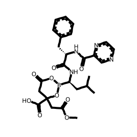 COC(=O)CC1(C(=O)O)CC(=O)OB([C@H](CC(C)C)NC(=O)[C@H](Cc2ccccc2)NC(=O)c2cnccn2)O1